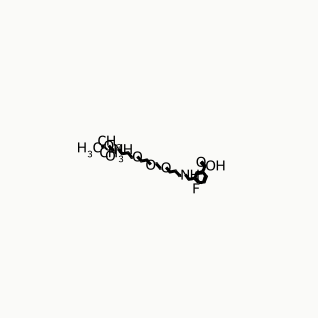 CC(C)(C)OC(=O)NCCCOCCOCCOCCCNCc1cc(C(=O)O)ccc1F